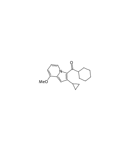 COc1cccn2c(C(=O)C3CCCCC3)c(C3CC3)cc12